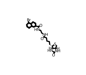 O=C(CCCC[C@@H]1SC[C@@H]2NC(=O)N[C@@H]21)NCCNC(=O)c1ccc2c(Br)cccc2c1